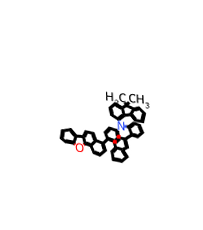 CC1(C)c2ccccc2-c2c(N(c3ccc(-c4cccc5c4ccc4c6ccccc6oc54)cc3)c3ccccc3-c3ccc4ccccc4c3)cccc21